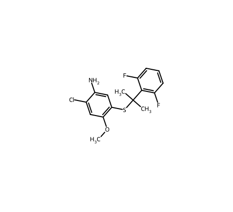 COc1cc(Cl)c(N)cc1SC(C)(C)c1c(F)cccc1F